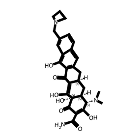 CN(C)[C@@H]1C(O)=C(C(N)=O)C(=O)[C@@]2(O)C(O)=C3C(=O)c4c(cc5ccc(CN6CCC6)cc5c4O)C[C@H]3C[C@@H]12